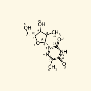 Cc1nn([C@@H]2O[C@H](CO)C(O)C2C)c(=O)[nH]c1=O